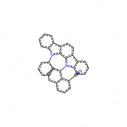 N#Cc1cccc2cccc(-n3c4ccccc4c4ccc5c6ccccc6n(-c6ccccc6)c5c43)c12